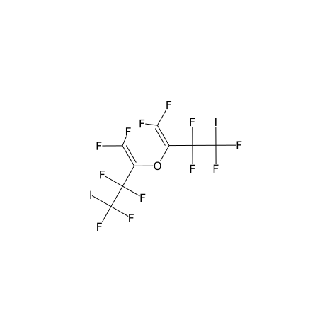 FC(F)=C(OC(=C(F)F)C(F)(F)C(F)(F)I)C(F)(F)C(F)(F)I